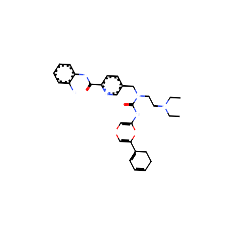 CCN(CC)CCN(Cc1ccc(C(=O)Nc2ccccc2N)nc1)C(=O)NC1=COC=C(C2=CC=CCC2)O1